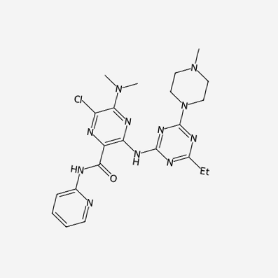 CCc1nc(Nc2nc(N(C)C)c(Cl)nc2C(=O)Nc2ccccn2)nc(N2CCN(C)CC2)n1